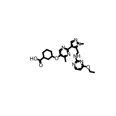 CCOc1ccnc(NCc2c(-c3ncc(OC4CCCC(C(=O)O)C4)c(C)n3)cnn2C)n1